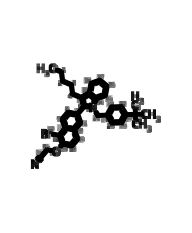 CCCCCc1c(-c2ccc3c(Br)c(OCC#N)ccc3c2)n(Cc2ccc(C(C)(C)C)cc2)c2ccccc12